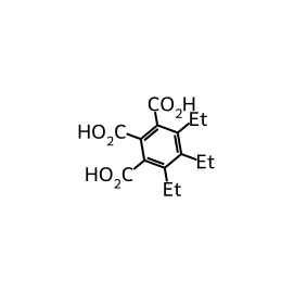 CCc1c(CC)c(C(=O)O)c(C(=O)O)c(C(=O)O)c1CC